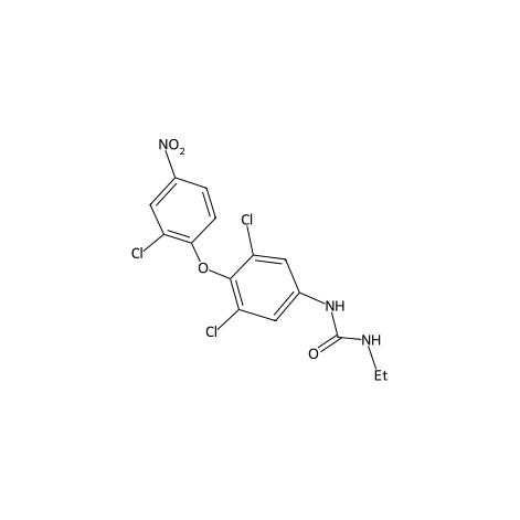 CCNC(=O)Nc1cc(Cl)c(Oc2ccc([N+](=O)[O-])cc2Cl)c(Cl)c1